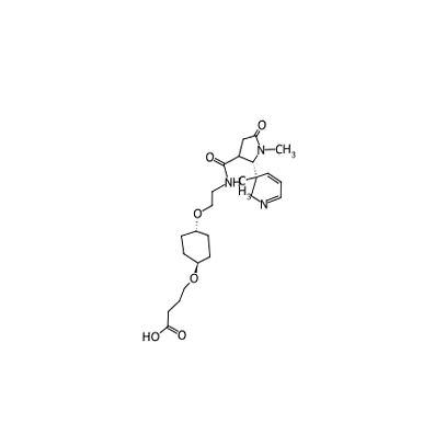 CN1C(=O)CC(C(=O)NCCO[C@H]2CC[C@H](OCCCC(=O)O)CC2)[C@H]1C1(C)C=CC=NC1